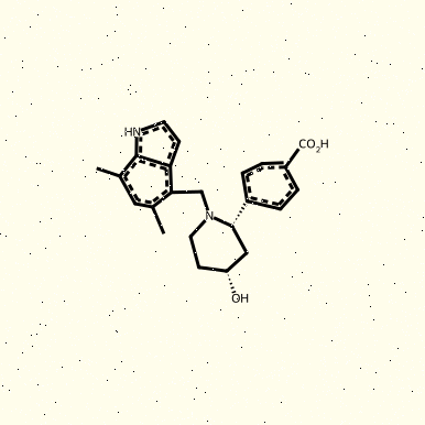 Cc1cc(C)c2[nH]ccc2c1CN1CC[C@@H](O)C[C@H]1c1ccc(C(=O)O)cc1